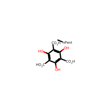 CCCCCC.O=C(O)c1c(O)c(C(=O)O)c(O)c(C(=O)O)c1O